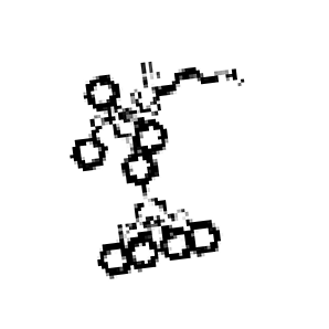 C=C/C=C\C=C(/C)OP(=O)(CN(CP(=O)(Oc1ccccc1)Oc1ccccc1)c1ccc(N(CP(=O)(Oc2ccccc2)Oc2ccccc2)CP(=O)(Oc2ccccc2)Oc2ccccc2)cc1)Oc1ccccc1